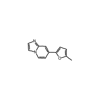 Cc1ccc(-c2ccn3ccnc3c2)o1